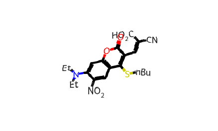 CCCCSc1c(C=C(C#N)C(=O)O)c(=O)oc2cc(N(CC)CC)c([N+](=O)[O-])cc12